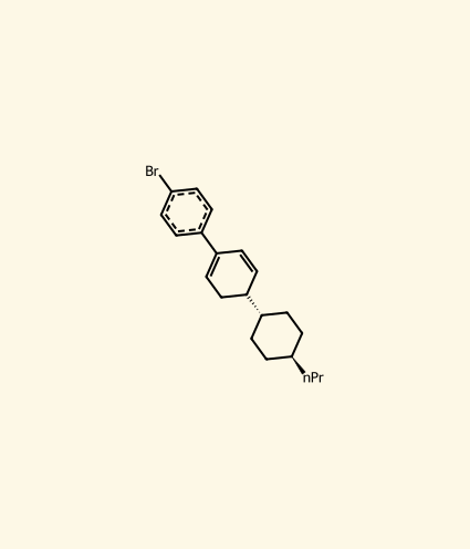 CCC[C@H]1CC[C@H](C2C=CC(c3ccc(Br)cc3)=CC2)CC1